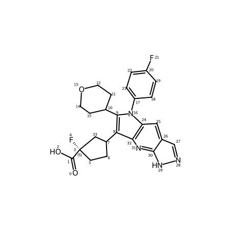 O=C(O)[C@]1(F)CCC(c2c(C3CCOCC3)n(-c3ccc(F)cc3)c3cc4cn[nH]c4nc23)C1